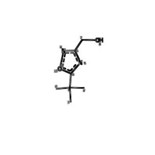 CC(C)(C)c1nc(CO)no1